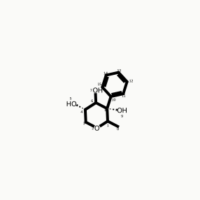 CC1OC[C@H](O)C(O)[C@@]1(O)c1ccccc1